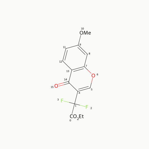 CCOC(=O)C(F)(F)c1coc2cc(OC)ccc2c1=O